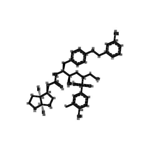 Cc1cc(S(=O)(=O)N(CC(C)C)C[C@@H](O)[C@H](Cc2ccc(OCc3cccc(C#N)c3)cc2)NC(=O)O[C@H]2CO[C@H]3OCC[C@H]32)ccc1O